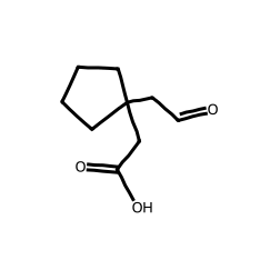 O=CCC1(CC(=O)O)CCCC1